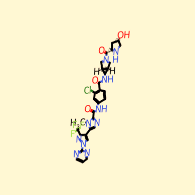 Cn1c(-c2cn(-c3ncccn3)nc2C(F)(F)F)cnc1C(=O)Nc1ccc(C(=O)NC2[C@H]3CN(C(=O)[C@@H]4C[C@@H](O)CN4)C[C@@H]23)c(Cl)c1